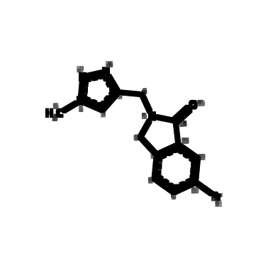 Cn1cc(CN2Cc3ccc(Br)cc3C2=O)nn1